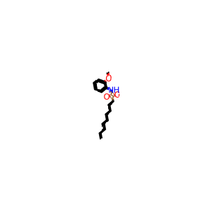 CCCCCCCCCS(=O)(=O)Nc1ccccc1OC